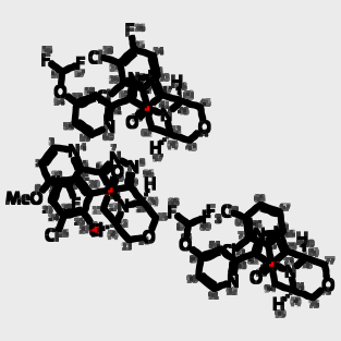 COc1ccnc(-c2nnc3n2C[C@@H]2COC[C@H]3N2C(=O)c2cccc(Cl)c2Cl)c1F.O=C(c1ccc(F)c(Cl)c1Cl)N1[C@H]2COC[C@@H]1c1nnc(-c3cc(OC(F)F)ccn3)n1C2.O=C(c1cccc(C(F)(F)F)c1Cl)N1[C@H]2COC[C@@H]1c1nnc(-c3cc(OC(F)F)ccn3)n1C2